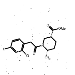 COC(=O)[C@@H]1CC[C@H](C)N(C(=O)Cc2ccc(F)cc2Cl)C1